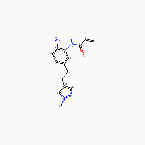 C=CC(=O)Nc1cc(CCc2cnn(C)c2)ccc1N